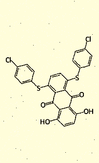 O=C1c2c(O)ccc(O)c2C(=O)c2c(Sc3ccc(Cl)cc3)ccc(Sc3ccc(Cl)cc3)c21